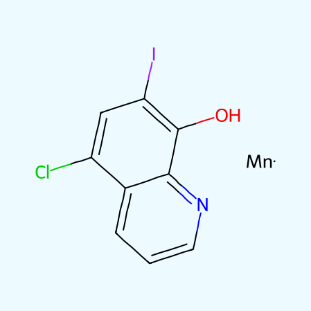 Oc1c(I)cc(Cl)c2cccnc12.[Mn]